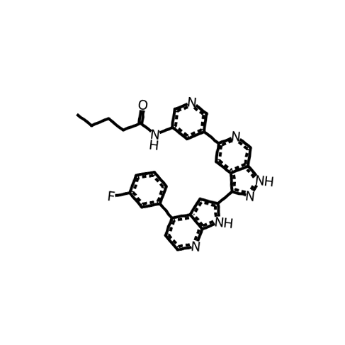 CCCCC(=O)Nc1cncc(-c2cc3c(-c4cc5c(-c6cccc(F)c6)ccnc5[nH]4)n[nH]c3cn2)c1